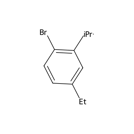 CCc1ccc(Br)c([C](C)C)c1